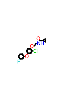 O=C(NCCOc1ccc(Oc2cccc(F)c2)cc1Cl)C1CC1